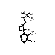 Cc1cccc(C2(O)CCC2CO[Si](C)(C)C(C)(C)C)c1[N+](=O)[O-]